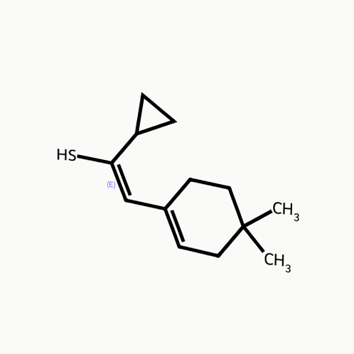 CC1(C)CC=C(/C=C(/S)C2CC2)CC1